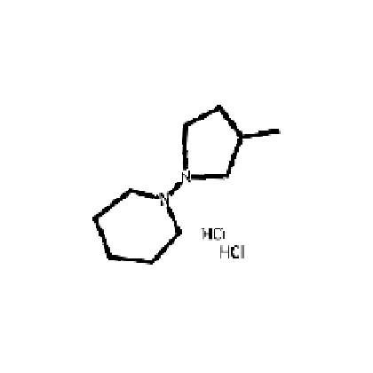 CC1CCN(N2CCCCC2)C1.Cl.Cl